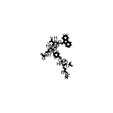 CC(C)OC(=O)[C@H](CCC(=O)C=[N+]=[N-])NC(=O)OCc1ccc(NC(=O)[C@H](CCCNC(=O)I)NC(=O)[C@@H](NC(=O)OCC2c3ccccc3-c3ccccc32)C(C)C)cc1